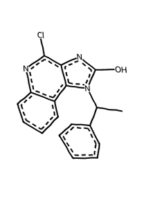 CC(c1ccccc1)n1c(O)nc2c(Cl)nc3ccccc3c21